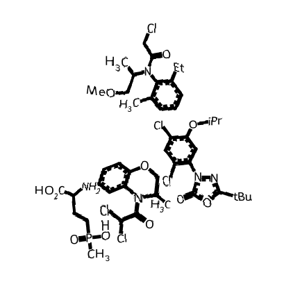 CC(C)Oc1cc(-n2nc(C(C)(C)C)oc2=O)c(Cl)cc1Cl.CC1COc2ccccc2N1C(=O)C(Cl)Cl.CCc1cccc(C)c1N(C(=O)CCl)C(C)COC.CP(=O)(O)CCC(N)C(=O)O